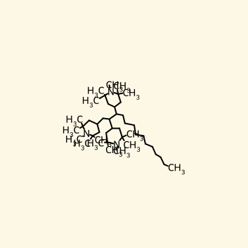 CCCCCCCCCCCC(C1CC(C)(C)N(C)C(C)(C)C1)C(CC1CC(C)(C)N(C)C(C)(C)C1)C1CC(C)(C)N(C)C(C)(C)C1